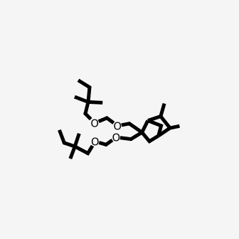 CCC(C)(C)COCOCC1(COCOCC(C)(C)CC)CC2CC1C(C)C2C